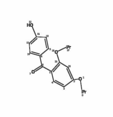 CC(C)Oc1ccc(C(=O)c2ccc(O)cc2)c(OC(C)C)c1